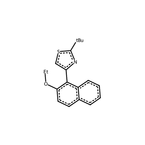 CCOc1ccc2ccccc2c1-c1csc(C(C)(C)C)n1